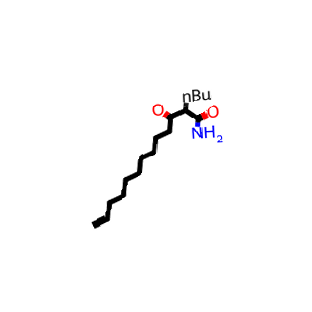 C=CCCCCCCCCC(=O)C(CCCC)C(N)=O